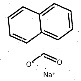 O=C[O-].[Na+].c1ccc2ccccc2c1